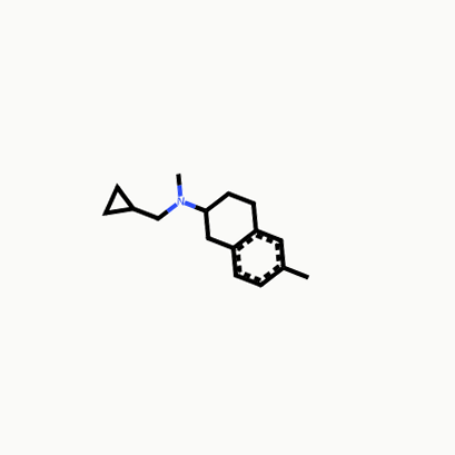 Cc1ccc2c(c1)CCC(N(C)CC1CC1)C2